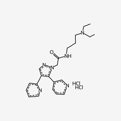 CCN(CC)CCCNC(=O)Cn1ncc(-c2ccccn2)c1-c1cccnc1.Cl.Cl